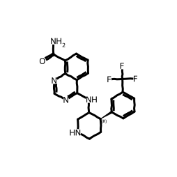 NC(=O)c1cccc2c(NC3CNCC[C@@H]3c3cccc(C(F)(F)F)c3)ncnc12